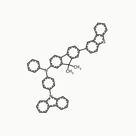 CC1(C)c2cc(-c3ccc4sc5ccccc5c4c3)ccc2-c2ccc(N(c3ccccc3)c3ccc(-n4c5ccccc5c5ccccc54)cc3)cc21